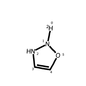 [2H]N1NC=CO1